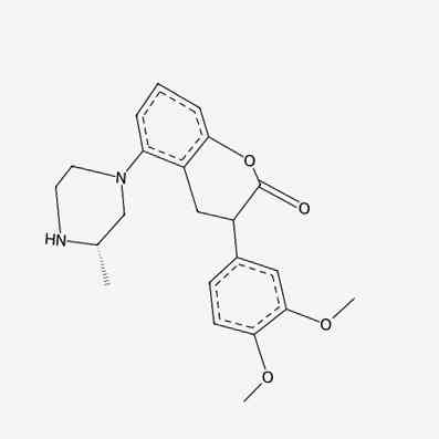 COc1ccc(C2Cc3c(cccc3N3CCN[C@@H](C)C3)OC2=O)cc1OC